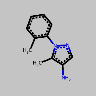 Cc1ccccc1-n1ncc(N)c1C